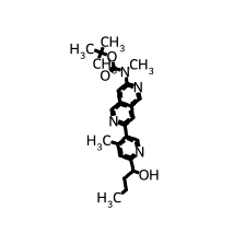 CCCC(O)c1cc(C)c(-c2cc3cnc(N(C)C(=O)OC(C)(C)C)cc3cn2)cn1